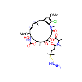 COc1cc2cc(c1Cl)N(C)C(=O)CC(OC(=O)C(C)N(C)C(=O)CCC(C)(C)SSNN)C1(C)OC1C(C)C1CC(O)(NC(=O)O1)C(OC)/C=C/C=C(\C)C2